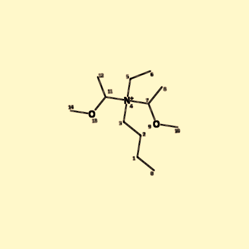 CCCC[N+](CC)(C(C)OC)C(C)OC